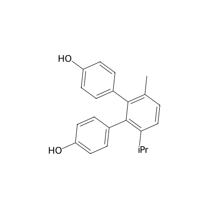 Cc1ccc(C(C)C)c(-c2ccc(O)cc2)c1-c1ccc(O)cc1